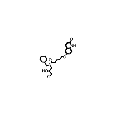 O=C(CCCCOc1ccc2[nH]c(=O)ccc2c1)N(CC(O)CCl)CC1CCCCC1